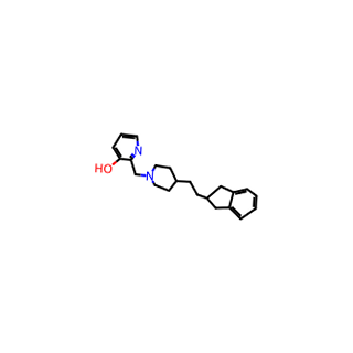 Oc1cccnc1CN1CCC(CCC2Cc3ccccc3C2)CC1